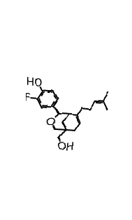 CC(C)=CCCC1=CCC2(CO)COC(c3ccc(O)c(F)c3)C1C2